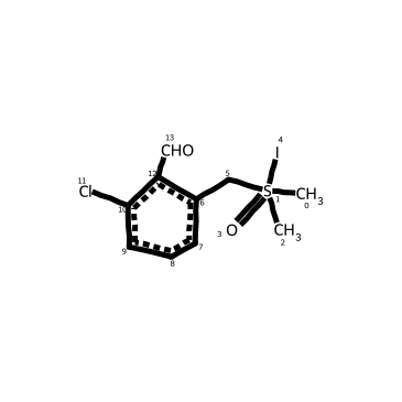 CS(C)(=O)(I)Cc1cccc(Cl)c1C=O